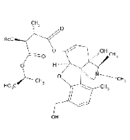 CC(=O)O[C@H](C(=O)O[C@@H](C)C(=O)O)[C@H](C)C(=O)OC1=CC[C@@]2(O)[C@@H](C)N(C)CC[C@@]23c2c(C)ccc(CO)c2O[C@@H]13